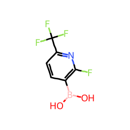 OB(O)c1ccc(C(F)(F)F)nc1F